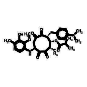 COc1c(N[C@H]2CC(=O)C(=O)[C@H](Cc3ccc(N(C)C)cc3)[C@H](OC(=O)C(C)C)[C@H](C)C(=O)C2=O)cnc(C)c1O